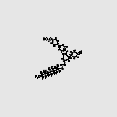 O=C(O)c1ccc(N2CCN(Cc3ccc(SCCC(F)(F)C(F)(F)C(F)(F)C(F)(F)C(F)(F)C(F)(F)C(F)(F)C(F)(F)F)cc3-c3ccc(Cl)cc3)CC2)cc1